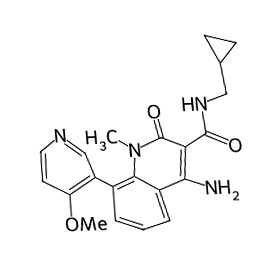 COc1ccncc1-c1cccc2c(N)c(C(=O)NCC3CC3)c(=O)n(C)c12